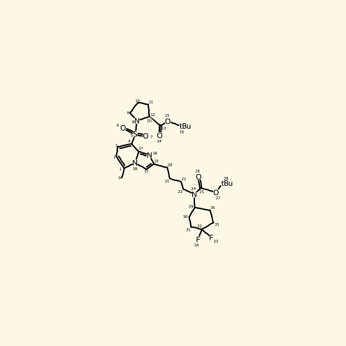 Cc1ccc(S(=O)(=O)N2CCC[C@H]2C(=O)OC(C)(C)C)c2nc(CCCCN(C(=O)OC(C)(C)C)C3CCC(F)(F)CC3)cn12